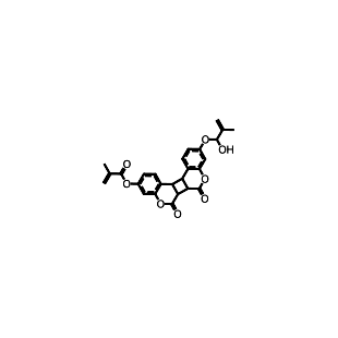 C=C(C)C(=O)Oc1ccc2c(c1)OC(=O)C1C3C(=O)Oc4cc(OC(O)C(=C)C)ccc4C3C21